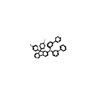 Fc1ccc(C2(c3ccc(F)cc3)c3ccccc3-c3ccc(N(c4cccc(-c5ccccc5)c4)c4cccc(-c5ccccc5)c4)cc32)cc1